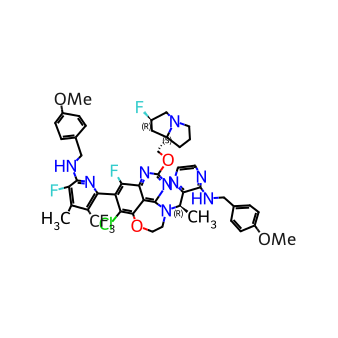 COc1ccc(CNc2nccnc2[C@@H](C)N2CCOc3c(Cl)c(-c4nc(NCc5ccc(OC)cc5)c(F)c(C)c4C(F)(F)F)c(F)c4nc(OC[C@@]56CCCN5C[C@H](F)C6)nc2c34)cc1